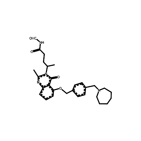 Cc1nc2cccc(OCc3ccc(CN4CCCCCC4)cc3)c2c(=O)n1C(C)CCC(=O)NC=O